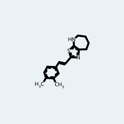 Cc1ccc(C=Cc2nc3c(s2)NCCCC3)cc1C